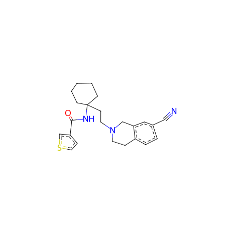 N#Cc1ccc2c(c1)CN(CCC1(NC(=O)c3ccsc3)CCCCC1)CC2